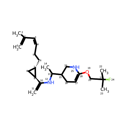 C=C(C)/C=C\CC[C@H]1C[C@@H]1C(=C)NC(C)C1CC=C(OCC(C)(C)F)NC1